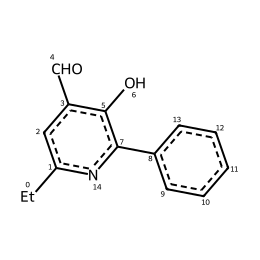 CCc1cc(C=O)c(O)c(-c2ccccc2)n1